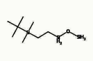 CC(C)(C)[Si](C)(C)CC[SiH2]O[SiH3]